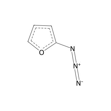 [N-]=[N+]=Nc1ccco1